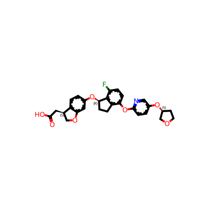 O=C(O)C[C@@H]1COc2cc(O[C@@H]3CCc4c(Oc5ccc(O[C@H]6CCOC6)cn5)ccc(F)c43)ccc21